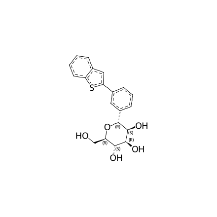 OC[C@H]1O[C@H](c2cccc(-c3cc4ccccc4s3)c2)[C@@H](O)[C@@H](O)[C@@H]1O